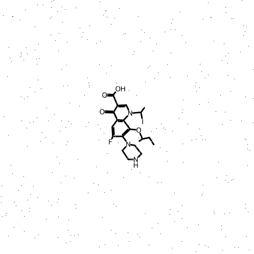 CCC(C)Oc1c(N2CCNCC2)c(F)cc2c(=O)c(C(=O)O)cn(C(C)I)c12